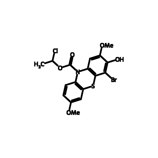 COc1ccc2c(c1)Sc1c(cc(OC)c(O)c1Br)N2C(=O)OC(C)Cl